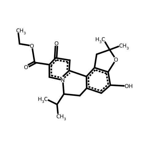 CCOC(=O)c1cn2c(cc1=O)-c1c(cc(O)c3c1CC(C)(C)O3)CC2C(C)C